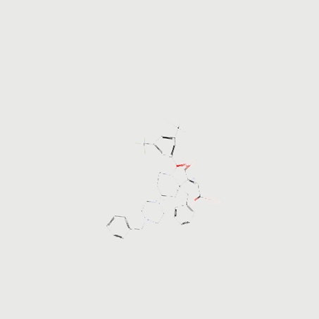 O=C(O)/C=C(/C(=O)O)[C@]1(Cc2ccccc2)C[C@@H](N2CCN(Cc3ccccc3)CC2)CCN1C(=O)c1cc(C(F)(F)F)cc(C(F)(F)F)c1